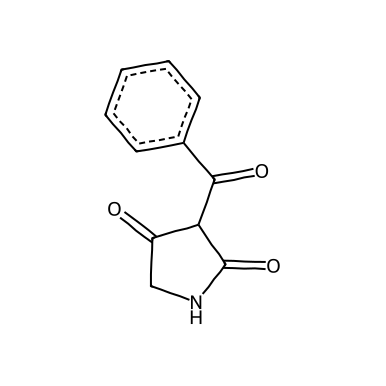 O=C1CNC(=O)C1C(=O)c1ccccc1